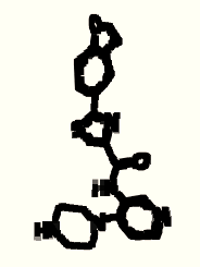 O=C(Nc1cnccc1N1CCNCC1)c1csc(-c2ccc3occc3c2)n1